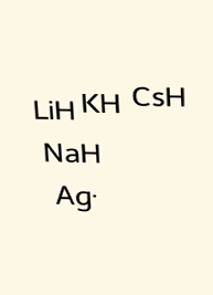 [Ag].[CsH].[KH].[LiH].[NaH]